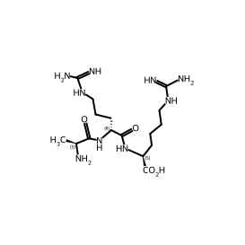 C[C@H](N)C(=O)N[C@H](CCCNC(=N)N)C(=O)N[C@@H](CCCCNC(=N)N)C(=O)O